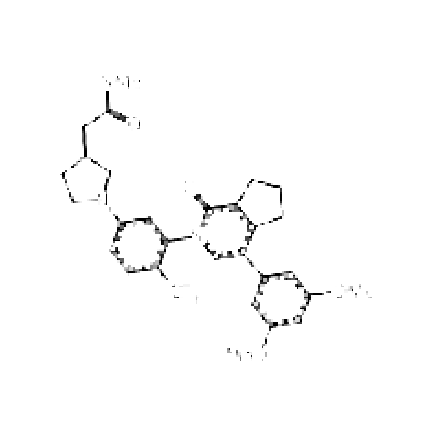 CNC(=O)CC1CCN(c2ccc(C(F)(F)F)c(-n3cc(-c4cc(OC)cc(OC)c4)c4c(c3=O)CCC4)c2)C1